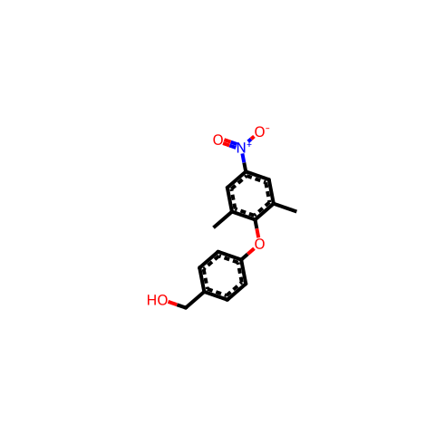 Cc1cc([N+](=O)[O-])cc(C)c1Oc1ccc(CO)cc1